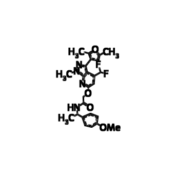 COc1ccc(C(C)NC(=O)COc2cc(C(F)F)c3c(-c4cc(C)oc4C)nn(C)c3n2)cc1